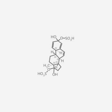 C[C@]12CC[C@H]3[C@@H](C=CC4=CC(O)(OS(=O)(=O)O)C=C[C@@H]43)[C@@H]1CCC2(O)OS(=O)(=O)O